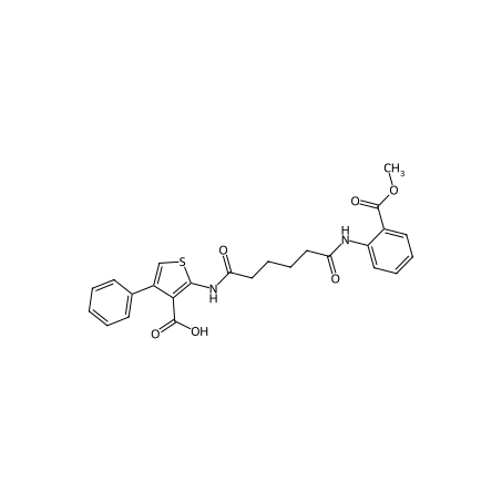 COC(=O)c1ccccc1NC(=O)CCCCC(=O)Nc1scc(-c2ccccc2)c1C(=O)O